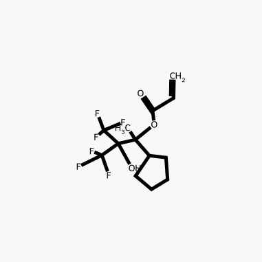 C=CC(=O)OC(C)(C1CCCC1)C(O)(C(F)(F)F)C(F)(F)F